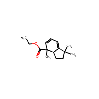 CCOC(=O)C1(C)C=CC=C2C1CCC2(C)C